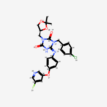 CC1(C)OC[C@H](Cn2c(=O)[nH]/c(=N\c3ccc(Oc4cncc(F)c4)cc3)n(Cc3ccc(Cl)cc3)c2=O)O1